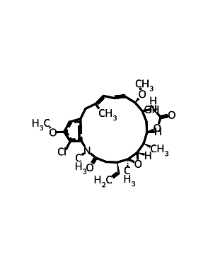 C=C[C@H]1CC(=O)N(C)c2cc(cc(OC)c2Cl)C/C(C)=C/C=C/[C@@H](OC)[C@@]2(O)C[C@H](OC(=O)N2)[C@@H](C)[C@@H]2O[C@@]12C